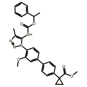 COC(=O)C1(c2ccc(-c3ccc(-n4nnc(C)c4NC(=O)OC(C)c4ccccc4)c(OC)c3)cc2)CC1